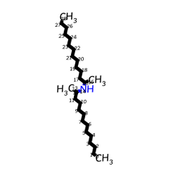 CCCCCCCCCCCCC(C)NC(C)CCCCCCCCCCCC